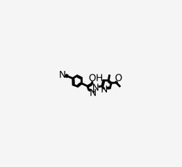 CC(=O)c1cnc(-n2ncc(-c3ccc(C#N)cc3)c2O)cc1C